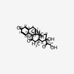 C[C@]12CC(=O)[C@H]3[C@@H](CCC4=CC(=O)C=C[C@@]43C)[C@@H]1CC[C@](O)(C(=O)CO)C2